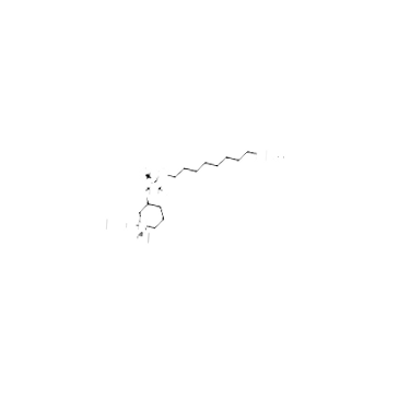 CCCCCCCCCCCCCCCCCCOP(=O)([O-])OC1CCC[N+](C)(C)C1